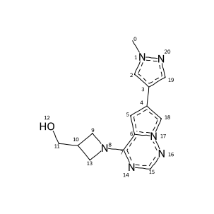 Cn1cc(-c2cc3c(N4CC(CO)C4)ncnn3c2)cn1